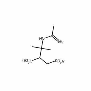 CC(=N)NC(C)(C)C(CC(=O)O)C(=O)O